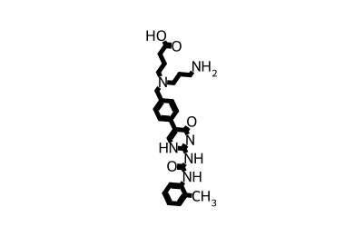 Cc1ccccc1NC(=O)Nc1nc(=O)c(-c2ccc(CN(CCCN)CCCC(=O)O)cc2)c[nH]1